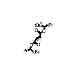 CC(C)C(OC(=O)/C=C/C(=O)OC(C(C)C)C(C)(C)C)C(C)(C)C